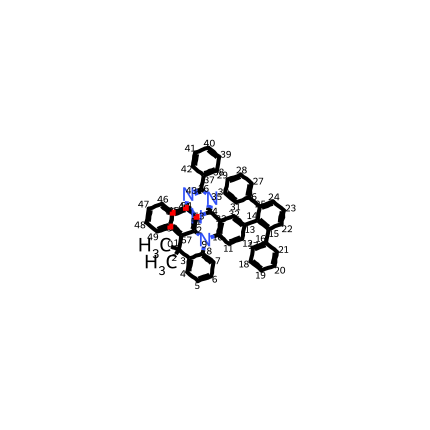 CC1(C)c2ccccc2N(c2ccc(-c3c(-c4ccccc4)cccc3-c3ccccc3)cc2-c2nc(-c3ccccc3)nc(-c3ccccc3)n2)c2ccccc21